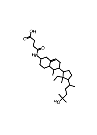 CCC1(C)C(C(C)CCC(C)(C)O)CCC1C1CC=C2CC(NC(=O)CCC(=O)O)CCC2C1C